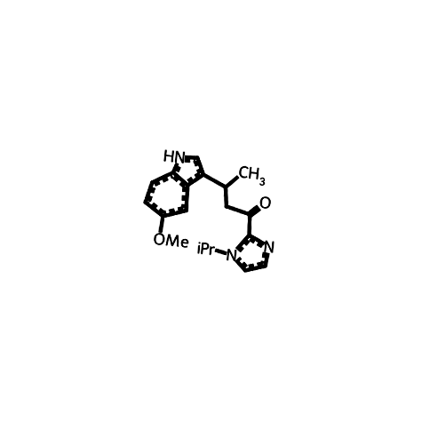 COc1ccc2[nH]cc(C(C)CC(=O)c3nccn3C(C)C)c2c1